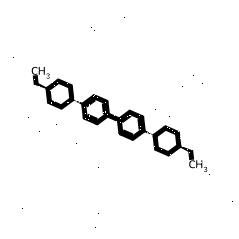 CC[C@H]1CC[C@H](c2ccc(-c3ccc([C@H]4CC[C@H](CC)CC4)cc3)cc2)CC1